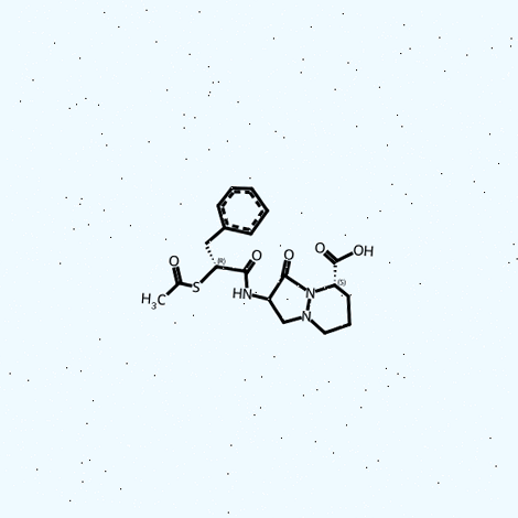 CC(=O)S[C@H](Cc1ccccc1)C(=O)NC1CN2CCC[C@@H](C(=O)O)N2C1=O